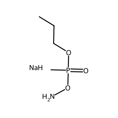 CCCOP(C)(=O)ON.[NaH]